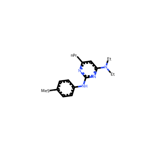 CCCc1cc(N(CC)CC)nc(Nc2ccc(SC)cc2)n1